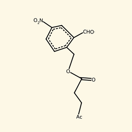 CC(=O)CCC(=O)OCc1ccc([N+](=O)[O-])cc1[C]=O